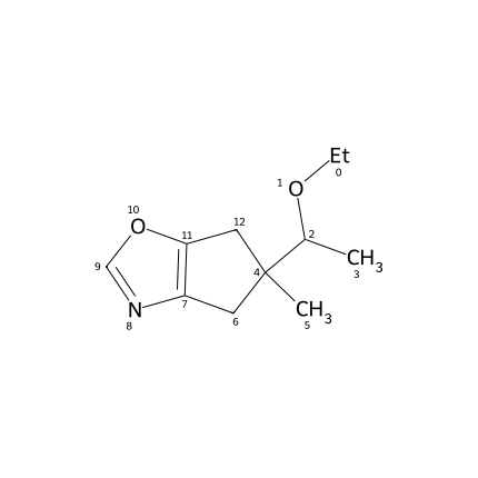 CCOC(C)C1(C)Cc2ncoc2C1